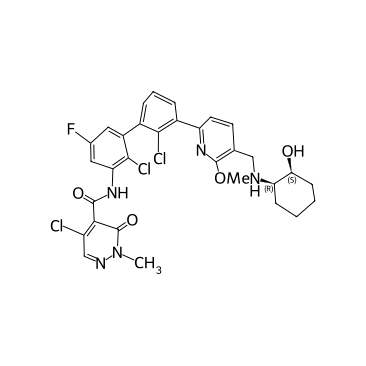 COc1nc(-c2cccc(-c3cc(F)cc(NC(=O)c4c(Cl)cnn(C)c4=O)c3Cl)c2Cl)ccc1CN[C@@H]1CCCC[C@@H]1O